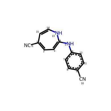 N#CC1=CC=C(Nc2ccc(C#N)cc2)NC=C1